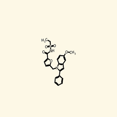 CCS(=O)(=O)NC(=O)c1ccc(Cn2c(-c3ccccc3)cc3cc(OC)ccc32)o1